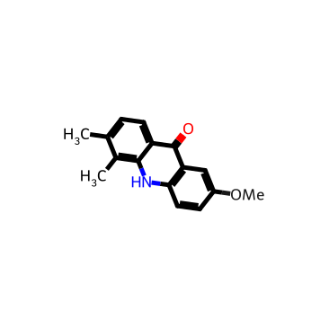 COc1ccc2[nH]c3c(C)c(C)ccc3c(=O)c2c1